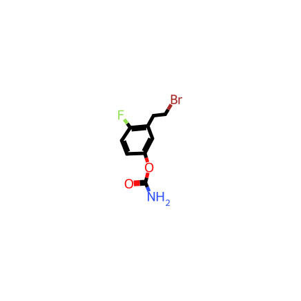 NC(=O)Oc1ccc(F)c(CCBr)c1